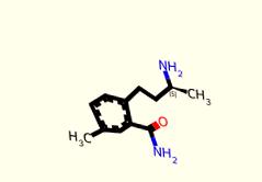 Cc1ccc(CC[C@H](C)N)c(C(N)=O)c1